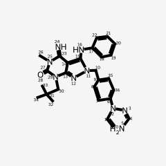 C=CN(/N=C\N)c1ccc(Cn2nc3c(c2Nc2ccccc2)c(=N)n(C)c(=O)n3CC(C)(C)C)cc1